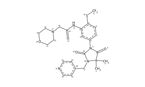 CC1(C)C(=O)N(c2ccc(SC(F)(F)F)c(NC(=O)CN3CCOCC3)c2)C(=O)N1Cc1ccncc1